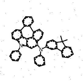 CC1(C)c2ccccc2-c2cc(N(c3ccccc3)c3cc4c5c6c(cccc36)-c3ccccc3-c3cccc(c35)n4-c3ccccc3)ccc21